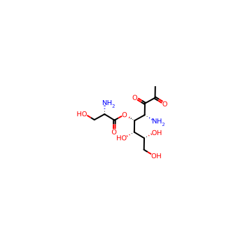 CC(=O)C(=O)[C@H](N)[C@@H](OC(=O)[C@@H](N)CO)[C@@H](O)[C@H](O)CO